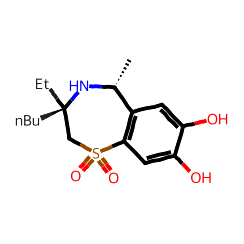 CCCC[C@]1(CC)CS(=O)(=O)c2cc(O)c(O)cc2[C@@H](C)N1